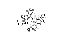 CC(C)(C)c1ccc2c(c1)C(CCC1c3ccccc3-c3ccc(C(C)(C)C)cc31)c1ccccc1-2.[Cl-].[Cl-].[Zr+2]